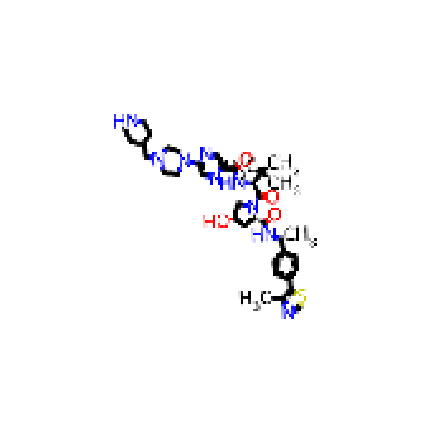 Cc1ncsc1-c1ccc([C@H](C)NC(=O)[C@@H]2C[C@@H](O)CN2C(=O)[C@@H](NC(=O)c2cnc(N3CCN(CC4CCNCC4)CC3)cn2)C(C)(C)C)cc1